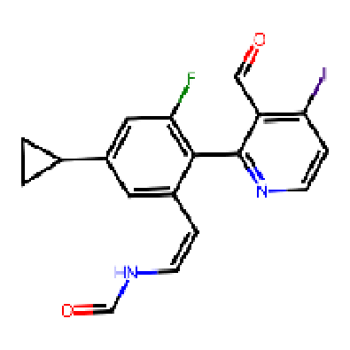 O=CN/C=C\c1cc(C2CC2)cc(F)c1-c1nccc(I)c1C=O